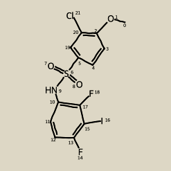 COc1ccc(S(=O)(=O)Nc2ccc(F)c(I)c2F)cc1Cl